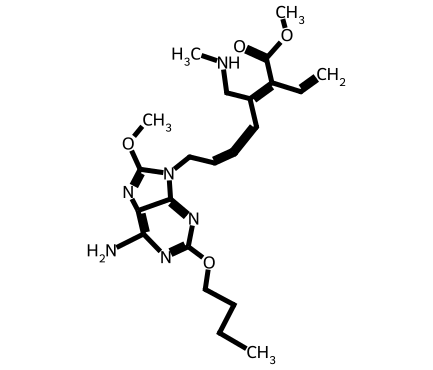 C=C/C(C(=O)OC)=C(\C=C=CCn1c(OC)nc2c(N)nc(OCCCC)nc21)CNC